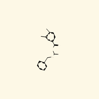 CCC(NCc1ccccc1)OC(=O)c1ccc(C)c(C)c1